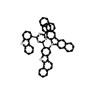 c1ccc2cc3c(cc2c1)c1cc2ccccc2cc1n3-c1cc2c(cc1-c1nc(-c3cccc4ccccc34)nc(-c3cccc4oc5ccccc5c34)n1)oc1c3ccccc3ccc21